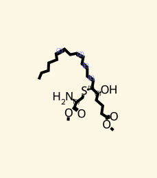 CCCCC/C=C\C\C=C/C=C/C=C/[C@H](SC[C@H](N)C(=O)OC)[C@H](O)CCCC(=O)OC